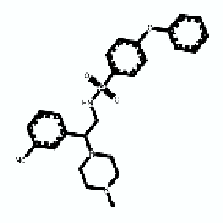 CN1CCN(C(CNS(=O)(=O)c2ccc(Oc3ccccc3)cc2)c2cccc(C#N)c2)CC1